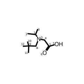 CC(C)N(CC(=O)O)CC(C)(C)C